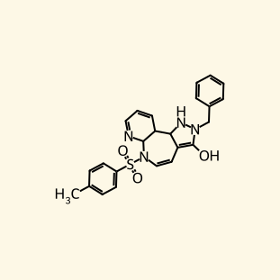 Cc1ccc(S(=O)(=O)N2C=CC3=C(O)N(Cc4ccccc4)NC3C3C=CC=NC32)cc1